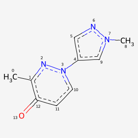 Cc1nn(-c2cnn(C)c2)ccc1=O